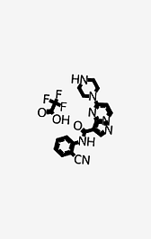 N#Cc1ccccc1NC(=O)c1cnn2ccc(N3CCNCC3)nc12.O=C(O)C(F)(F)F